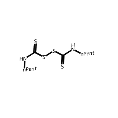 CCCCCNC(=S)SSC(=S)NCCCCC